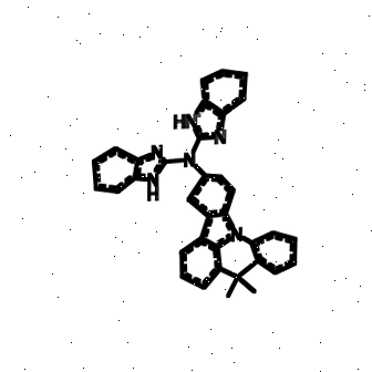 CC1(C)c2ccccc2-n2c3ccc(N(c4nc5ccccc5[nH]4)c4nc5ccccc5[nH]4)cc3c3cccc1c32